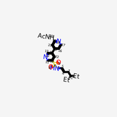 CCC(CC)C/C=C/NS(=O)(=O)c1cncc(-c2ccnc(NC(C)=O)c2)c1